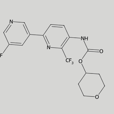 O=C(Nc1ccc(-c2cncc(F)c2)nc1C(F)(F)F)OC1CCOCC1